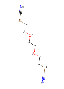 N#CSCCOCCOCCSC#N